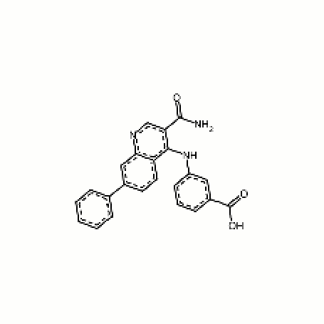 NC(=O)c1cnc2cc(-c3ccccc3)ccc2c1Nc1cccc(C(=O)O)c1